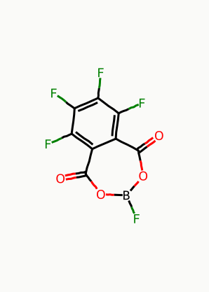 O=C1OB(F)OC(=O)c2c(F)c(F)c(F)c(F)c21